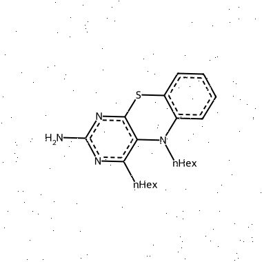 CCCCCCc1nc(N)nc2c1N(CCCCCC)c1ccccc1S2